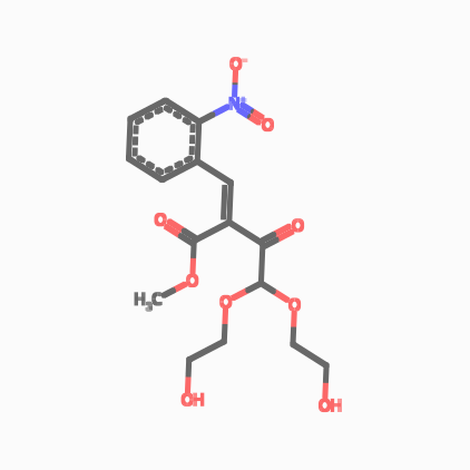 COC(=O)C(=Cc1ccccc1[N+](=O)[O-])C(=O)C(OCCO)OCCO